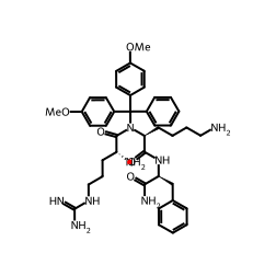 COc1ccc(C(c2ccccc2)(c2ccc(OC)cc2)N(C(=O)[C@H](N)CCCNC(=N)N)[C@@H](CCCCN)C(=O)N[C@@H](Cc2ccccc2)C(N)=O)cc1